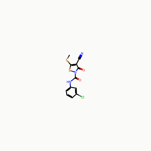 CSc1sn(C(=O)Nc2cccc(Cl)c2)c(=O)c1C#N